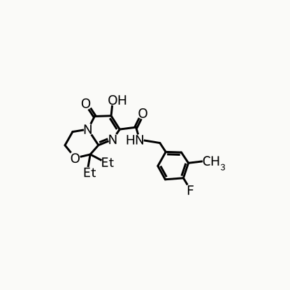 CCC1(CC)OCCn2c1nc(C(=O)NCc1ccc(F)c(C)c1)c(O)c2=O